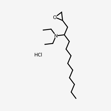 CCCCCCCCCC(CC1CO1)N(CC)CC.Cl